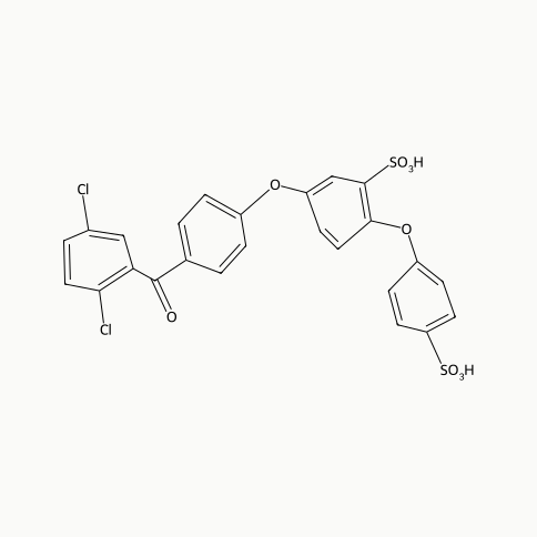 O=C(c1ccc(Oc2ccc(Oc3ccc(S(=O)(=O)O)cc3)c(S(=O)(=O)O)c2)cc1)c1cc(Cl)ccc1Cl